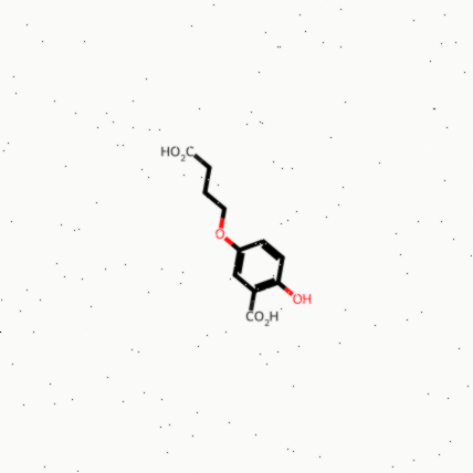 O=C(O)CCCOc1ccc(O)c(C(=O)O)c1